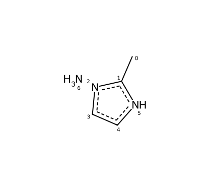 Cc1ncc[nH]1.N